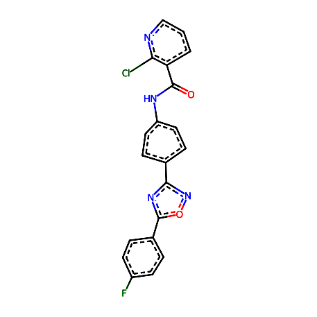 O=C(Nc1ccc(-c2noc(-c3ccc(F)cc3)n2)cc1)c1cccnc1Cl